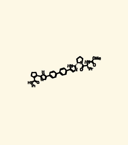 COC(=O)N[C@H](C(=O)N1CCC[C@H]1c1ncc(-c2ccc(-c3ccc(-c4cnc(C5=C(C(=O)NC(C)C)CCC5)[nH]4)cc3)cc2)[nH]1)C(C)C